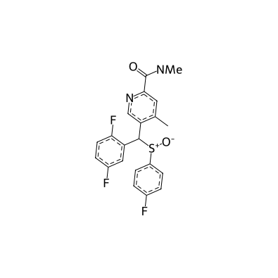 CNC(=O)c1cc(C)c(C(c2cc(F)ccc2F)[S+]([O-])c2ccc(F)cc2)cn1